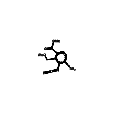 COCc1c(C(=O)OC)ccc(N)c1N=C=S